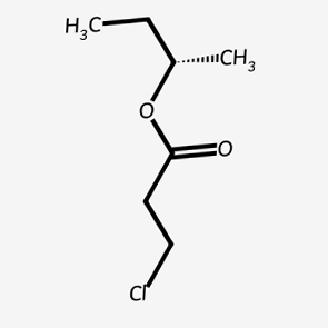 CC[C@H](C)OC(=O)CCCl